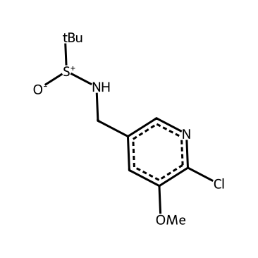 COc1cc(CN[S+]([O-])C(C)(C)C)cnc1Cl